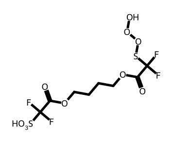 O=C(OCCCCOC(=O)C(F)(F)S(=O)(=O)O)C(F)(F)SOOO